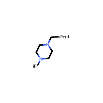 [CH2]CCCCCN1CCN(C(C)C)CC1